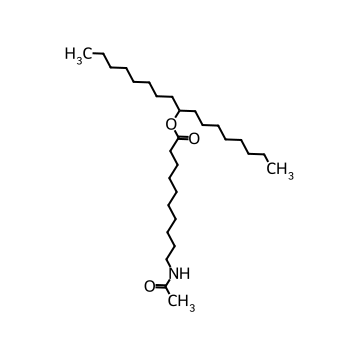 CCCCCCCCC(CCCCCCCC)OC(=O)CCCCCCCCCNC(C)=O